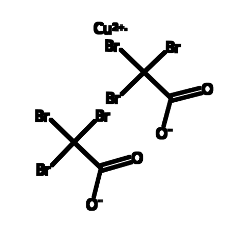 O=C([O-])C(Br)(Br)Br.O=C([O-])C(Br)(Br)Br.[Cu+2]